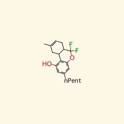 CCCCCc1cc(O)c2c(c1)OC(F)(F)C1CC=C(C)CC21